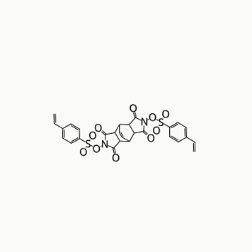 C=Cc1ccc(S(=O)(=O)ON2C(=O)C3C4C=CC(C3C2=O)C2C(=O)N(OS(=O)(=O)c3ccc(C=C)cc3)C(=O)C42)cc1